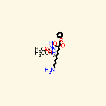 CC(C)(C)OC(=O)NNC(=O)C(CCCCCCCCCN)C(=O)COc1ccccc1